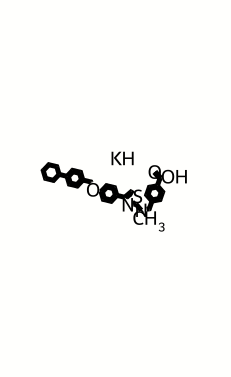 CN(Cc1ccc(C(=O)O)cc1)c1nc(-c2ccc(OCc3ccc(C4CCCCC4)cc3)cc2)cs1.[KH]